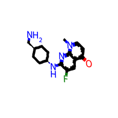 Cn1ccc(=O)c2cc(F)c(N[C@H]3CC[C@H](CN)CC3)nc21